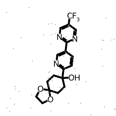 OC1(c2ccc(-c3ncc(C(F)(F)F)cn3)cn2)CCC2(CC1)OCCO2